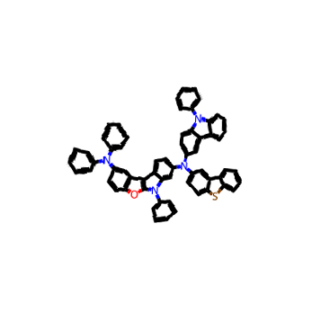 c1ccc(N(c2ccccc2)c2ccc3oc4c(c3c2)c2ccc(N(c3ccc5sc6ccccc6c5c3)c3ccc5c(c3)c3ccccc3n5-c3ccccc3)cc2n4-c2ccccc2)cc1